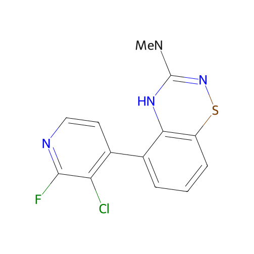 CNC1=NSc2cccc(-c3ccnc(F)c3Cl)c2N1